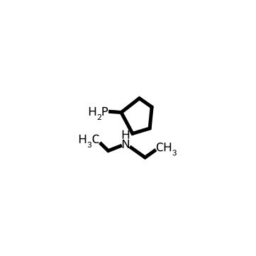 CCNCC.PC1CCCC1